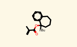 C=C(C)C(=O)OC1(CCCC)CCCCc2ccccc21